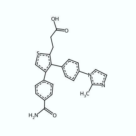 Cc1nccn1-c1ccc(-c2c(-c3ccc(C(N)=O)cc3)csc2CCC(=O)O)cc1